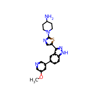 COc1cncc(-c2ccc3[nH]nc(-c4cnc(N5CCC(N)CC5)s4)c3c2)c1